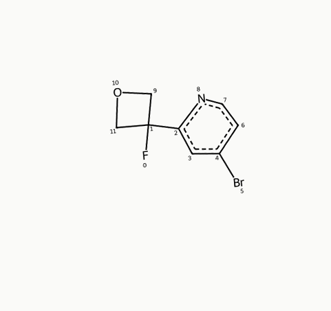 FC1(c2cc(Br)ccn2)COC1